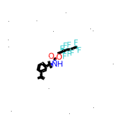 C=C(C)c1cccc(C(C)(C)NC(=O)OCC(F)(F)C(F)(F)C(F)(F)C(F)F)c1